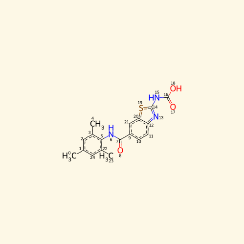 Cc1cc(C)c(NC(=O)c2ccc3nc(NC(=O)O)sc3c2)c(C)c1